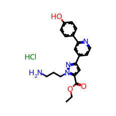 CCOC(=O)c1cc(-c2ccnc(-c3ccc(O)cc3)c2)nn1CCCN.Cl